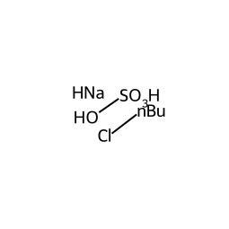 CCCCCl.O=S(=O)(O)O.[NaH]